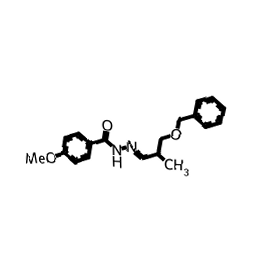 COc1ccc(C(=O)N/N=C/C(C)COCc2ccccc2)cc1